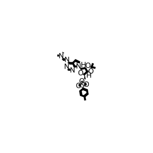 Cc1ccc(S(=O)(=O)OC[C@H]2O[C@@H](n3ccc4c(/N=C/N(C)C)ncnc43)[C@@H]3OC(C)(C)O[C@@H]32)cc1